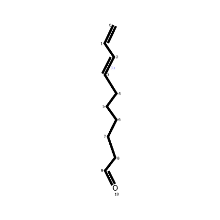 C=C/C=C/CCCCCC=O